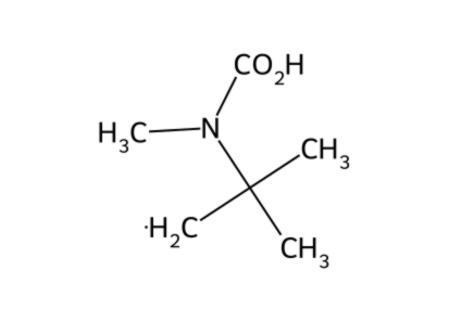 [CH2]C(C)(C)N(C)C(=O)O